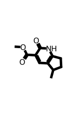 COC(=O)c1cc2c([nH]c1=O)CCC2C